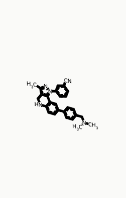 Cc1nn(-c2cccc(C#N)c2)c2c1CNc1ccc(-c3ccc(CN(C)C)cc3)cc1-2